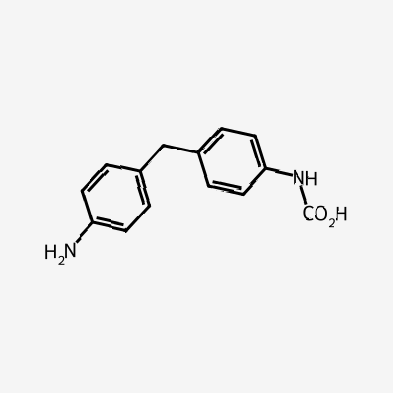 Nc1ccc(Cc2ccc(NC(=O)O)cc2)cc1